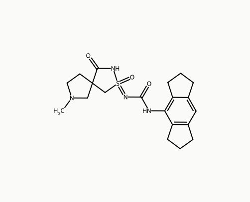 CN1CCC2(C1)CS(=O)(=NC(=O)Nc1c3c(cc4c1CCC4)CCC3)NC2=O